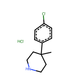 CC1(c2ccc(Cl)cc2)CCNCC1.Cl